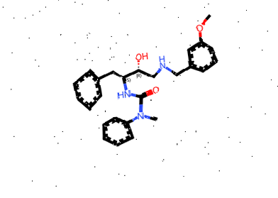 COc1cccc(CNC[C@@H](O)[C@H](Cc2ccccc2)NC(=O)N(C)c2ccccc2)c1